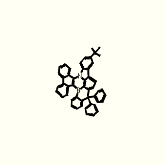 CC(C)(C)c1ccc2c(c1)c1ccc3c4c1n2-c1c(c2ccccc2c2ccccc12)B4c1ccccc1C3(c1ccccc1)c1ccccc1